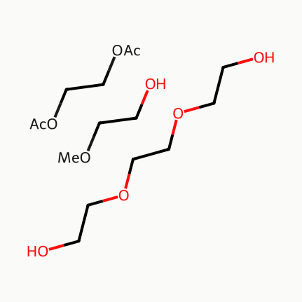 CC(=O)OCCOC(C)=O.COCCO.OCCOCCOCCO